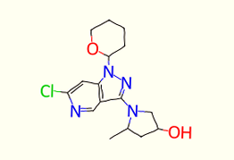 CC1CC(O)CN1c1nn(C2CCCCO2)c2cc(Cl)ncc12